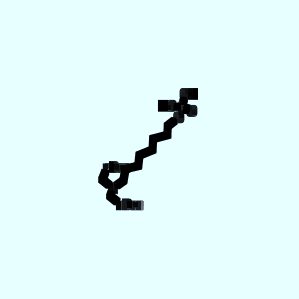 CCCCCCCCCCCN(CCCCCCCCCCC)CCCCCCCCOP(=O)(O)O